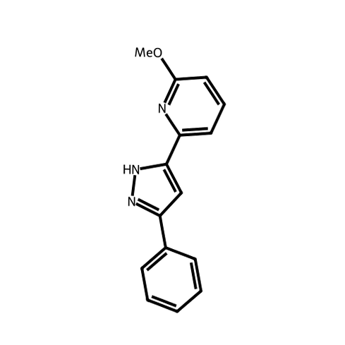 COc1cccc(-c2cc(-c3ccccc3)n[nH]2)n1